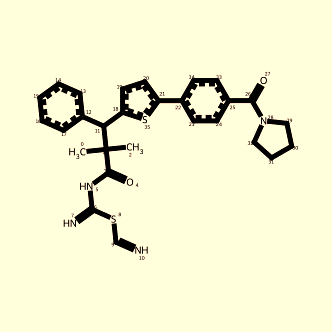 CC(C)(C(=O)NC(=N)SC=N)C(c1ccccc1)c1ccc(-c2ccc(C(=O)N3CCCC3)cc2)s1